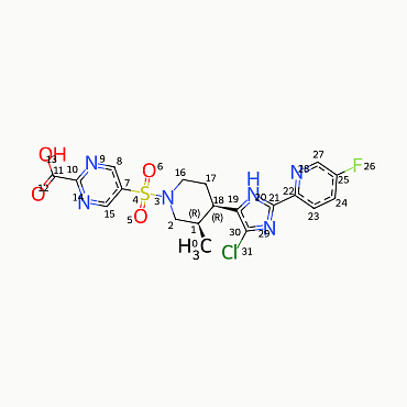 C[C@H]1CN(S(=O)(=O)c2cnc(C(=O)O)nc2)CC[C@H]1c1[nH]c(-c2ccc(F)cn2)nc1Cl